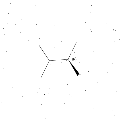 [CH2][C@H](C)C(C)C